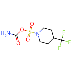 NC(=O)OS(=O)(=O)N1CCC(C(F)(F)F)CC1